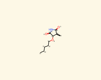 C=C1C(=O)NC(=O)C1OCCCCC